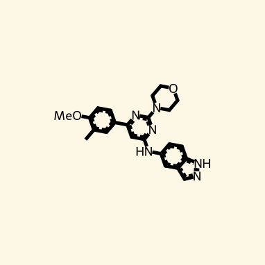 COc1ccc(-c2cc(Nc3ccc4[nH]ncc4c3)nc(N3CCOCC3)n2)cc1C